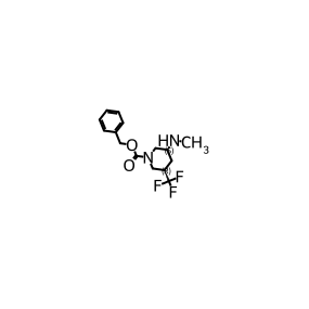 CN[C@H]1C[C@@H](C(F)(F)F)CN(C(=O)OCc2ccccc2)C1